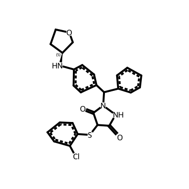 O=C1NN(C(c2ccccc2)c2ccc(N[C@H]3CCOC3)cc2)C(=O)C1Sc1ccccc1Cl